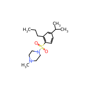 CCCc1cc(C(C)C)ccc1S(=O)(=O)N1CCN(C)CC1